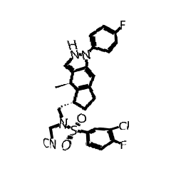 C[C@H]1C2=CNN(c3ccc(F)cc3)C2=CC2=C1[C@@H](CN(CC#N)S(=O)(=O)c1ccc(F)c(Cl)c1)CC2